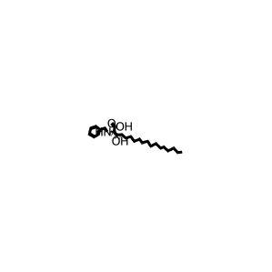 CCCCCCCCCCCCCCC[C@@H](O)[C@@H](NCc1ccccc1)C(=O)O